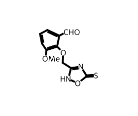 COc1cccc(C=O)c1OCc1nc(=S)o[nH]1